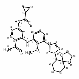 COc1c(Nc2cc(NC(=O)C3CC3)nnc2C(N)=O)cccc1-c1cnn(C2CCCCC23OCCO3)c1